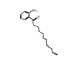 C=CCCCCCCCCC(=O)c1ccccc1N